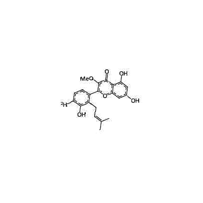 [2H]c1ccc(-c2oc3cc(O)cc(O)c3c(=O)c2OC)c(CC=C(C)C)c1O